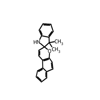 CC1(C)c2ccccc2NC12C=Cc1c(ccc3ccccc13)O2